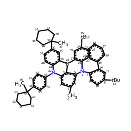 Cc1cc2c3c(c1)N(c1ccc(C(C)(C)C)cc1-c1ccccc1)c1ccc(C(C)(C)C)cc1B3c1cc(C3(C)CCCCC3)ccc1N2c1ccc(C2(C)CCCCC2)cc1